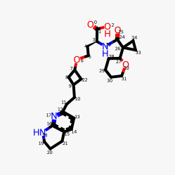 O=C(O)[C@H](CCOC1CC(CCc2ccc3c(n2)NCCC3)C1)NC(=O)C1(C2CCCCO2)CC1